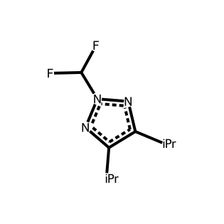 CC(C)c1nn(C(F)F)nc1C(C)C